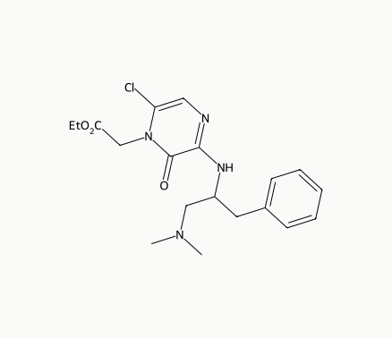 CCOC(=O)Cn1c(Cl)cnc(NC(Cc2ccccc2)CN(C)C)c1=O